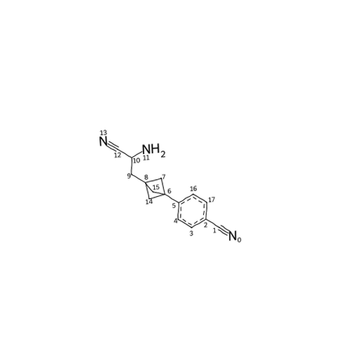 N#Cc1ccc(C23CC(CC(N)C#N)(C2)C3)cc1